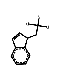 ClC(Cl)(Cl)CC1C=Cc2ccccc21